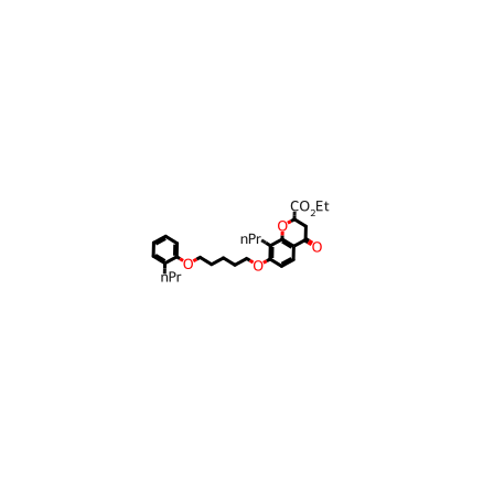 CCCc1ccccc1OCCCCCOc1ccc2c(c1CCC)OC(C(=O)OCC)CC2=O